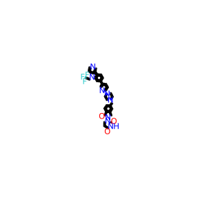 O=C1CCN(N2Cc3cc(CN4CCN(c5ccc(-c6ccc7c8cnccc8n(CC(F)(F)F)c7c6)cn5)CC4)ccc3C2=O)C(=O)N1